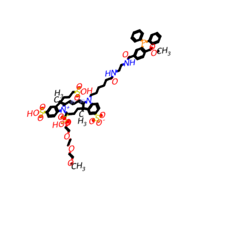 COCCOCCOCCOCC[N+]1=C(/C=C/C=C2/N(CCCCCC(=O)NCCNC(=O)c3ccc(C(=O)OC)c(P(c4ccccc4)c4ccccc4)c3)c3ccc(S(=O)(=O)[O-])cc3C2(C)CCCS(=O)(=O)O)C(C)(CCCS(=O)(=O)O)c2cc(S(=O)(=O)O)ccc21